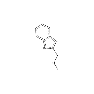 COCc1[c]c2ccccc2[nH]1